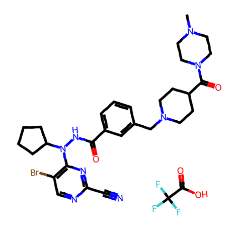 CN1CCN(C(=O)C2CCN(Cc3cccc(C(=O)NN(c4nc(C#N)ncc4Br)C4CCCC4)c3)CC2)CC1.O=C(O)C(F)(F)F